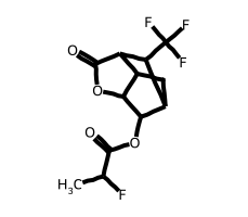 CC(F)C(=O)OC1C2CC3C1OC(=O)C3C2C(F)(F)F